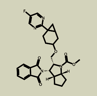 COC(=O)N1[C@@H]2CCC[C@@H]2[C@H](N2C(=O)c3ccccc3C2=O)[C@@H]1COC1CCC2(c3ncc(F)cn3)CC2C1